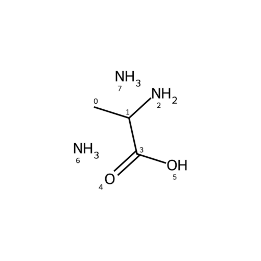 CC(N)C(=O)O.N.N